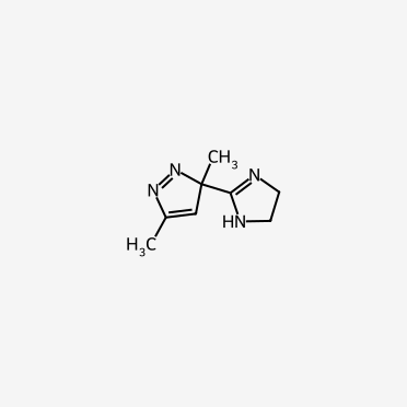 CC1=CC(C)(C2=NCCN2)N=N1